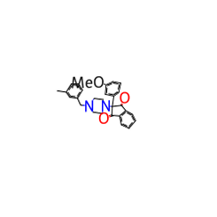 COc1cccc(C2(N3CCN(Cc4cccc(C)c4)CC3)C(=O)c3ccccc3C2=O)c1